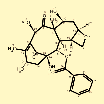 CC(=O)O[C@H]1C(=O)[C@@]2(C)[C@@H]([C@@H]3CO[C@@H]3C[C@@H]2O)[C@H](OC(=O)c2ccccc2)[C@]2(O)C[C@H](O)C(C)=C1C2C